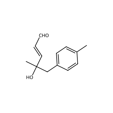 Cc1ccc(CC(C)(O)/C=C/C=O)cc1